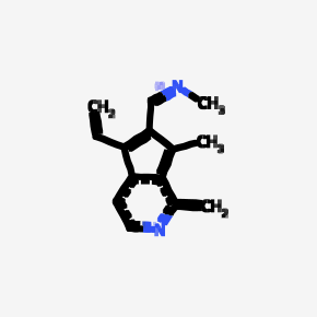 C=CC1=C(/C=N\C)C(C)=c2c1ccnc2=C